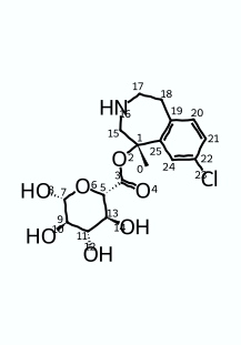 C[C@@]1(OC(=O)[C@H]2O[C@@H](O)[C@H](O)[C@@H](O)[C@@H]2O)CNCCc2ccc(Cl)cc21